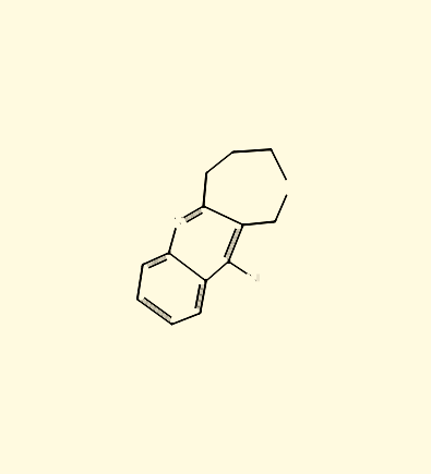 Nc1c2c(nc3ccccc13)CCCSC2